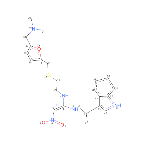 CC(CN/C(=C\[N+](=O)[O-])NCCSCc1ccc(CN(C)C)o1)c1c[nH]c2ccccc12